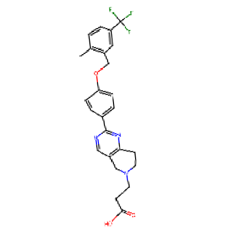 Cc1ccc(C(F)(F)F)cc1COc1ccc(-c2ncc3c(n2)CCN(CCC(=O)O)C3)cc1